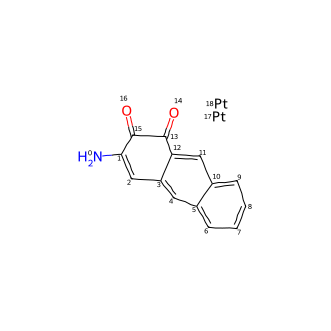 NC1=Cc2cc3ccccc3cc2C(=O)C1=O.[Pt].[Pt]